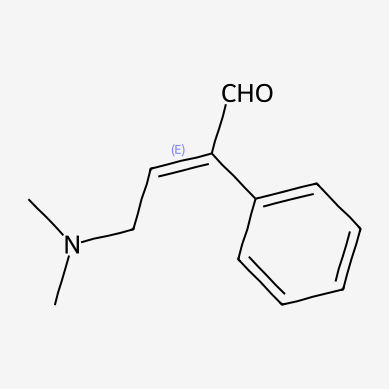 CN(C)C/C=C(/C=O)c1ccccc1